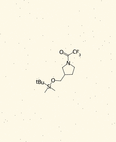 CC(C)(C)[Si](C)(C)OCC1CCN(C(=O)C(F)(F)F)C1